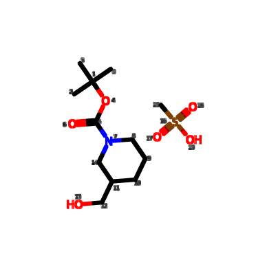 CC(C)(C)OC(=O)N1CCCC(CO)C1.CS(=O)(=O)O